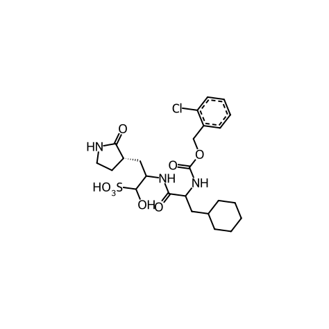 O=C(NC(CC1CCCCC1)C(=O)NC(C[C@@H]1CCNC1=O)C(O)S(=O)(=O)O)OCc1ccccc1Cl